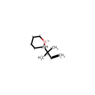 C=CC(C)(C)[SiH]1CCCCO1